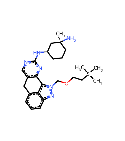 C[C@]1(N)CCC[C@@H](Nc2ncc3c(n2)-c2c4c(cccc4nn2COCC[Si](C)(C)C)C3)C1